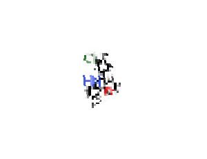 CC(C)c1ccc2c(c1)C1OCCCC1C(c1cccc(Cl)c1)N2